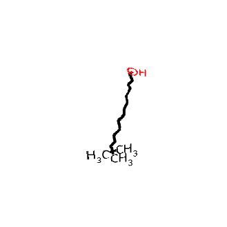 CC(C)(C)CCCCCCCCCCCCCO